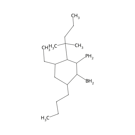 BC1C(CCCC)CC(CC)C(C(C)(C)CCC)C1P